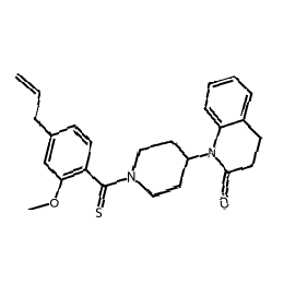 C=CCc1ccc(C(=S)N2CCC(N3C(=O)CCc4ccccc43)CC2)c(OC)c1